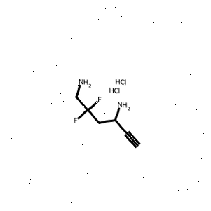 C#CC(N)CC(F)(F)CN.Cl.Cl